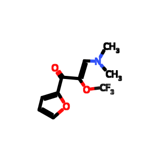 CN(C)C=C(OC(F)(F)F)C(=O)c1ccco1